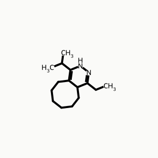 CCC1=NNC(C(C)C)=C2CCCCCCC12